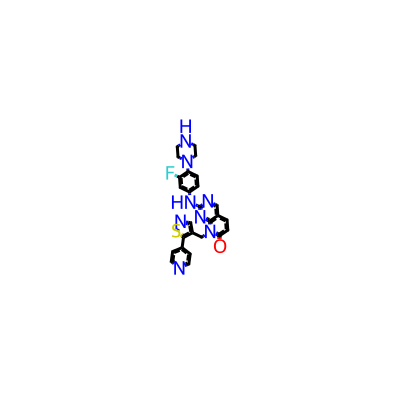 O=c1ccc2cnc(Nc3ccc(N4CCNCC4)c(F)c3)nc2n1Cc1cnsc1-c1ccncc1